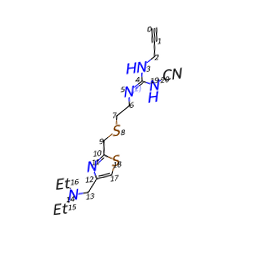 C#CCN/C(=N/CCSCc1nc(CN(CC)CC)cs1)NC#N